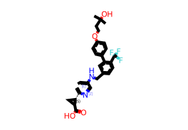 C=C(/N=C\C(=C/C)NCc1ccc(C(F)(F)F)c(-c2ccc(OCCC(C)(C)O)cc2)c1)[C@H]1CC1C(=O)O